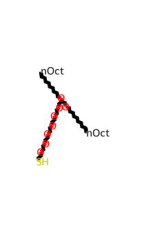 CCCCCCCCC=CCCCCCCCCOCC(COCCOCCOCCOCCOCCOCCS)OCCCCCCCC/C=C\CCCCCCCC